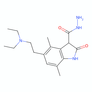 CCN(CC)CCc1cc(C)c2c(c1C)C(C(=O)NN)C(=O)N2